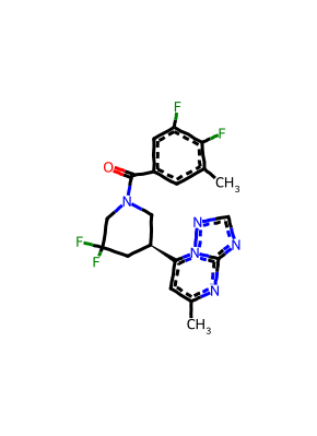 Cc1cc([C@@H]2CN(C(=O)c3cc(C)c(F)c(F)c3)CC(F)(F)C2)n2ncnc2n1